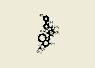 COC(=O)NC1=C2C#C/C=C\C#C[C@H](OC3OC(C)C(SC)(C(=O)c4nccc5c4[nH]c4ccc(O)cc45)C(O)C3OC)C2/C(=C\CS(C)(=S)=S)[C@@H](O)CC1=O